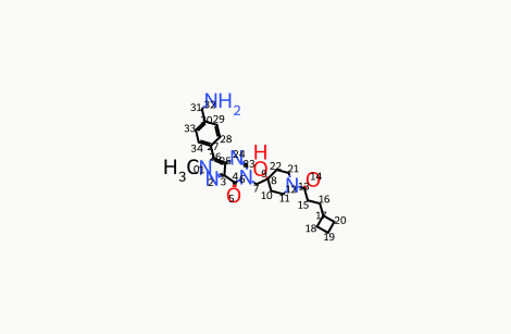 Cn1nc2c(=O)n(CC3(O)CCN(C(=O)CCC4CCC4)CC3)cnc2c1-c1ccc(CN)cc1